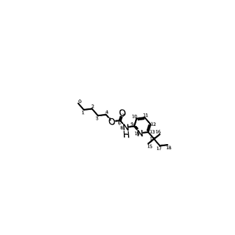 CCCCCOC(=O)Nc1cccc(C(C)(C)CC)n1